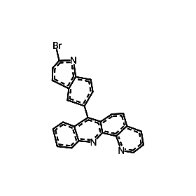 Brc1ccc2cc(-c3c4ccccc4nc4c3ccc3cccnc34)ccc2n1